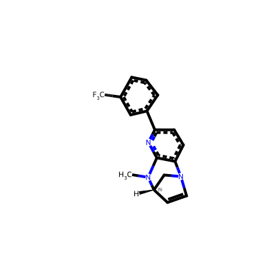 CN1c2nc(-c3cccc(C(F)(F)F)c3)ccc2N2C=C[C@H]1C2